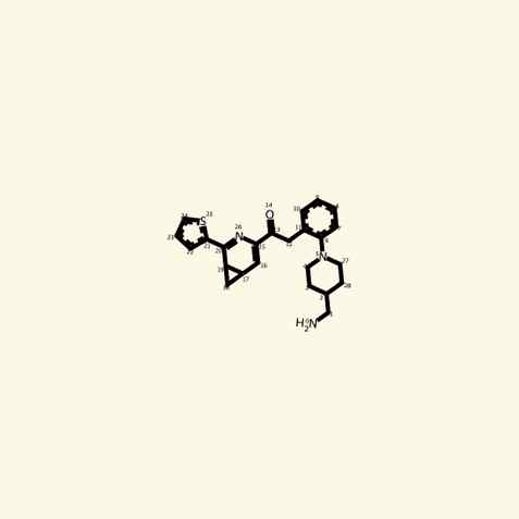 NCC1CCN(c2ccccc2CC(=O)C2=CC3CC3C(c3cccs3)=N2)CC1